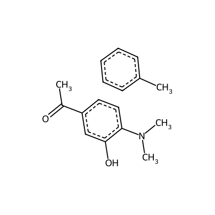 CC(=O)c1ccc(N(C)C)c(O)c1.Cc1ccccc1